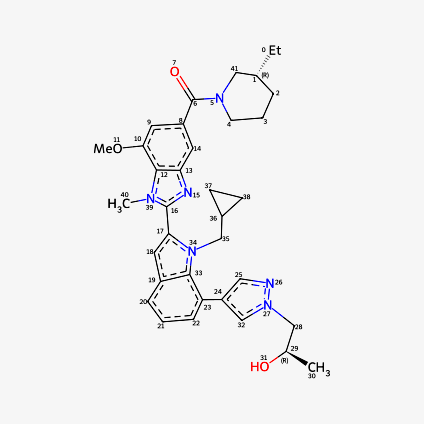 CC[C@@H]1CCCN(C(=O)c2cc(OC)c3c(c2)nc(-c2cc4cccc(-c5cnn(C[C@@H](C)O)c5)c4n2CC2CC2)n3C)C1